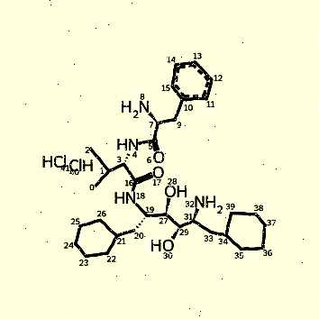 CC(C)[C@H](NC(=O)[C@@H](N)Cc1ccccc1)C(=O)N[C@@H](CC1CCCCC1)[C@@H](O)[C@H](O)[C@@H](N)CC1CCCCC1.Cl.Cl